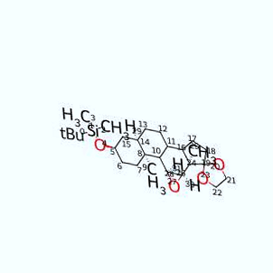 CC(C)(C)[Si](C)(C)O[C@@H]1CC[C@]2(C)C3C(CC[C@@H]2C1)C1CCC2(OCCO2)[C@@]1(C)[C@H]1O[C@@H]31